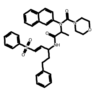 CC(C(=O)NC(C=CS(=O)(=O)c1ccccc1)CCc1ccccc1)N(C(=O)N1CCOCC1)c1ccc2ccccc2c1